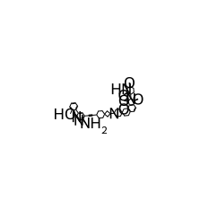 Nc1nnc(-c2ccccc2O)cc1C#CC1CCC2(CC1)CC(N1CCC3(CCc4ccc5c(c4O3)C(=O)N(C3CCC(=O)NC3=O)C5=O)CC1)C2